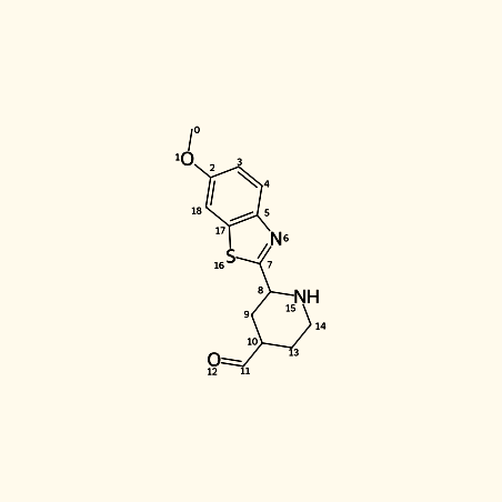 COc1ccc2nc(C3CC(C=O)CCN3)sc2c1